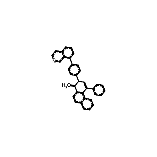 C=C1c2ccc3ccccc3c2C(c2ccccc2)=CC1c1ccc(-c2cccc3ccncc23)cc1